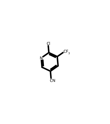 N#Cc1cnc(Cl)c(C(F)(F)F)c1